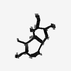 CCc1cc2ncc(C(C)C)c(C)c2[nH]c1=O